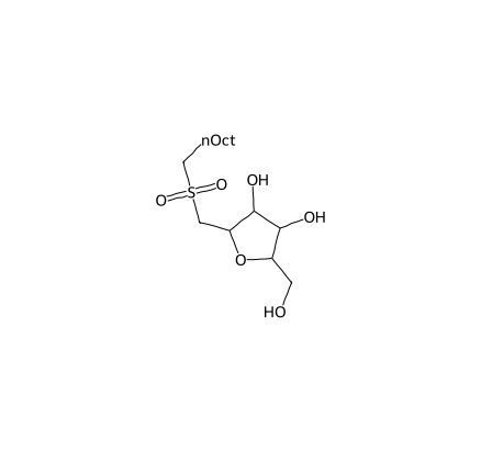 CCCCCCCCCS(=O)(=O)CC1OC(CO)C(O)C1O